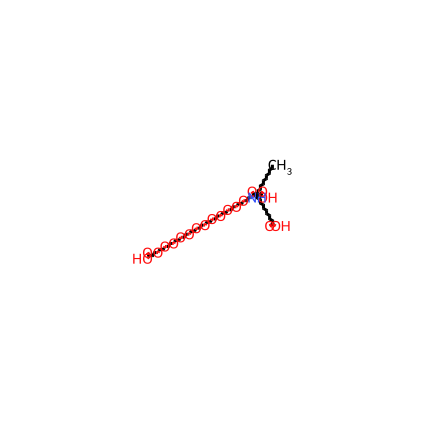 CCCCCCCCCCC[C@](CCCCCCCCCCC(=O)O)(C(=O)O)C(=O)NCCOCCOCCOCCOCCOCCOCCOCCOCCOCCOCCOCCOCCC(=O)O